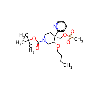 CCCCO[C@@H]1CN(C(=O)OC(C)(C)C)CC[C@@]1(COS(C)(=O)=O)c1ccccn1